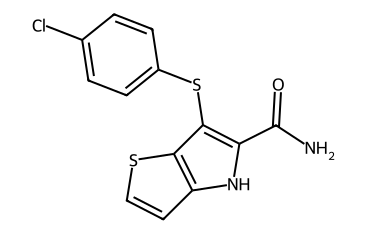 NC(=O)c1[nH]c2ccsc2c1Sc1ccc(Cl)cc1